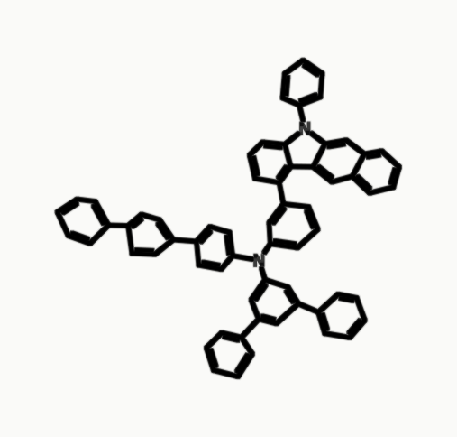 c1ccc(-c2ccc(-c3ccc(N(c4cc(-c5ccccc5)cc(-c5ccccc5)c4)c4cccc(-c5cccc6c5c5cc7ccccc7cc5n6-c5ccccc5)c4)cc3)cc2)cc1